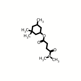 CC1CC(OC(=O)CCC(=O)N(C)C)CC(C)(C)C1